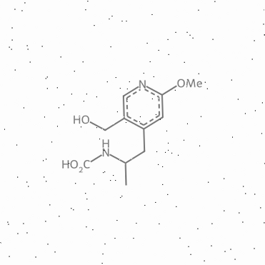 COc1cc(CC(C)NC(=O)O)c(CO)cn1